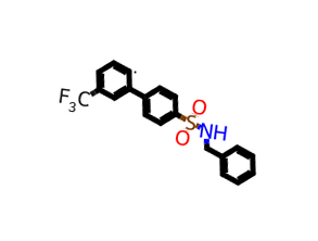 O=S(=O)(NCc1ccccc1)c1ccc(-c2[c]ccc(C(F)(F)F)c2)cc1